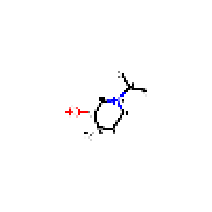 CC(C)N1CC[C@H](C)[C@@H](O)C1